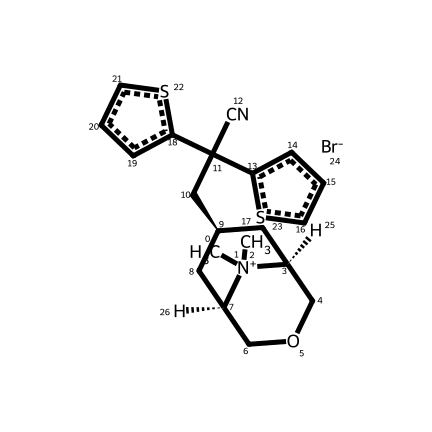 C[N+]1(C)[C@@H]2COC[C@H]1C[C@@H](CC(C#N)(c1cccs1)c1cccs1)C2.[Br-]